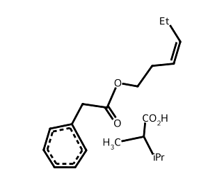 CC(C)C(C)C(=O)O.CC/C=C\CCOC(=O)Cc1ccccc1